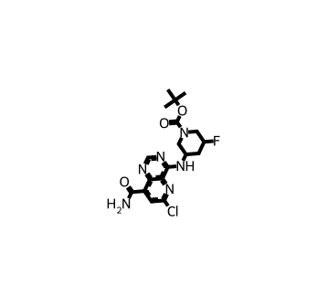 CC(C)(C)OC(=O)N1CC(F)CC(Nc2ncnc3c(C(N)=O)cc(Cl)nc23)C1